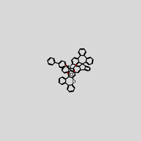 c1ccc(-c2ccc(N(c3ccc4c(c3)-c3ccccc3-c3ccccc3O4)c3ccc4c(c3)C3(c5ccccc5-c5ccccc5-4)c4ccccc4-c4cc5oc6ccccc6c5cc43)cc2)cc1